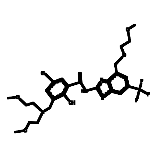 COCCOCc1cc(C(F)(F)F)cc2sc(NC(=O)c3cc(Cl)cc(CN(CCOC)CCOC)c3O)nc12